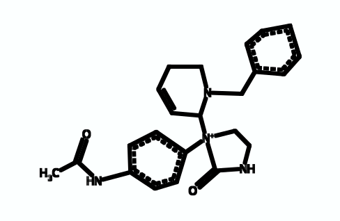 CC(=O)Nc1ccc([N+]2(C3C=CCCN3Cc3ccccc3)CCNC2=O)cc1